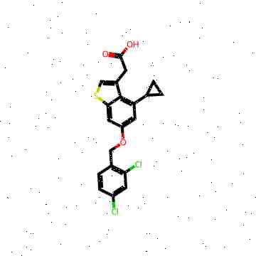 O=C(O)Cc1csc2cc(OCc3ccc(Cl)cc3Cl)cc(C3CC3)c12